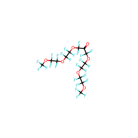 O=C(C(F)(F)OC(F)(F)C(F)(F)OC(F)(F)C(F)(F)OC(F)(F)F)C(F)(F)OC(F)(F)C(F)(F)OC(F)(F)C(F)(F)OC(F)(F)F